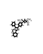 CC1(O)CC(N)(c2ccc(-c3nc4n(c3-c3ccccc3)COc3ccccc3-4)cc2)C1